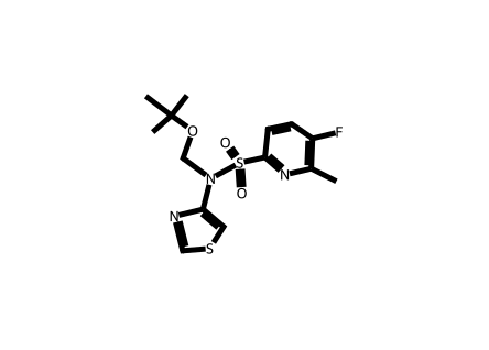 Cc1nc(S(=O)(=O)N(COC(C)(C)C)c2cscn2)ccc1F